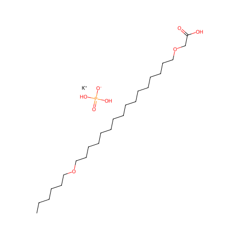 CCCCCCOCCCCCCCCCCCCCCCCOCC(=O)O.O=P([O-])(O)O.[K+]